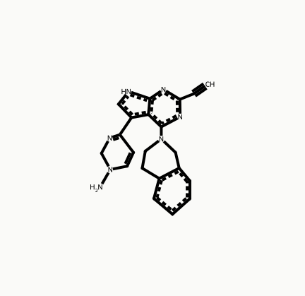 C#Cc1nc(N2CCc3ccccc3C2)c2c(C3=NCN(N)C=C3)c[nH]c2n1